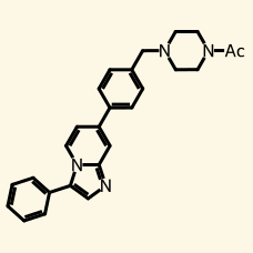 CC(=O)N1CCN(Cc2ccc(-c3ccn4c(-c5ccccc5)cnc4c3)cc2)CC1